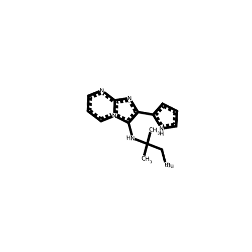 CC(C)(C)CC(C)(C)Nc1c(-c2ccc[nH]2)nc2ncccn12